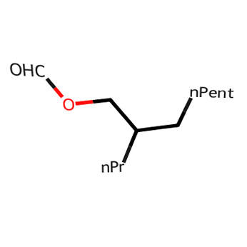 CCCCCCC(CCC)COC=O